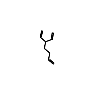 C=CCCC(C=C)C=C